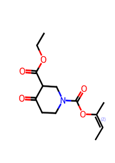 C/C=C(/C)OC(=O)N1CCC(=O)C(C(=O)OCC)C1